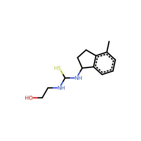 Cc1cccc2c1CCC2NC(S)NCCO